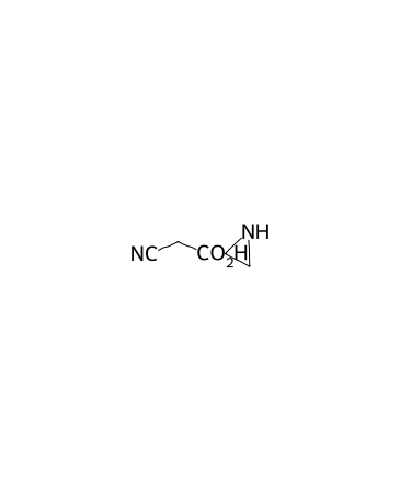 C1CN1.N#CCC(=O)O